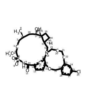 C[C@@H]1CC[C@@H](C)S(=O)(=O)NC(=O)c2ccc3c(c2)N(CCCCc2cc(Cl)ccc2CO3)C[C@@H]2CC[C@H]2[C@H](O)C1